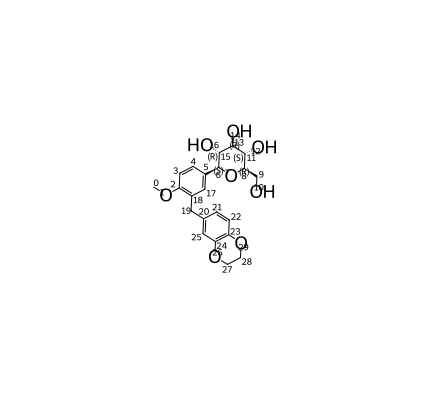 COc1ccc([C@@H]2O[C@H](CO)[C@@H](O)[C@H](O)[C@H]2O)cc1Cc1ccc2c(c1)OCCO2